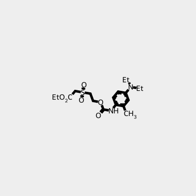 CCOC(=O)CS(=O)(=O)CCOC(=O)Nc1ccc(N(CC)CC)cc1C